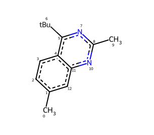 Cc1ccc2c(C(C)(C)C)nc(C)nc2c1